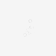 CC(O)C(C(=O)NOCc1ccccc1)N1C(=O)c2ccccc2C1=O